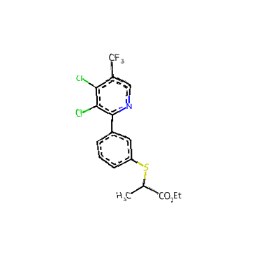 CCOC(=O)C(C)Sc1cccc(-c2ncc(C(F)(F)F)c(Cl)c2Cl)c1